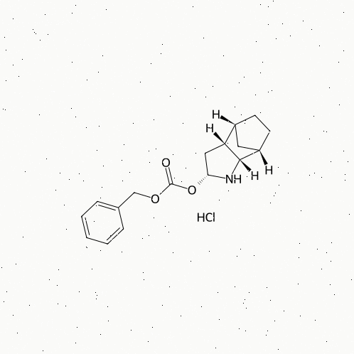 Cl.O=C(OCc1ccccc1)O[C@@H]1C[C@@H]2[C@@H]3CC[C@@H](C3)[C@@H]2N1